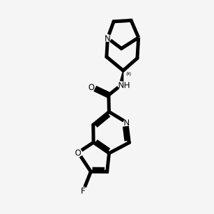 O=C(N[C@@H]1CC2CCN(C2)C1)c1cc2oc(F)cc2cn1